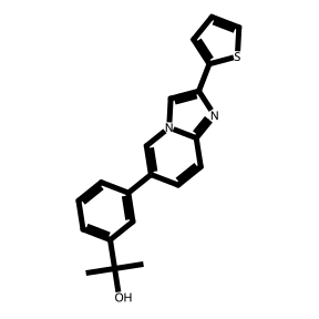 CC(C)(O)c1cccc(-c2ccc3nc(-c4cccs4)cn3c2)c1